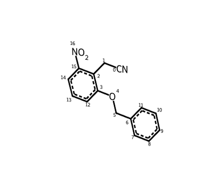 N#CCc1c(OCc2ccccc2)cccc1[N+](=O)[O-]